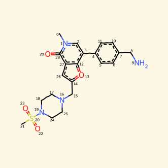 Cn1cc(-c2ccc(CN)cc2)c2oc(CN3CCN(S(C)(=O)=O)CC3)cc2c1=O